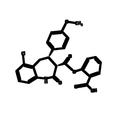 COc1ccc([C@H]2Cc3c(Cl)cccc3NC(=O)[C@H]2C(=O)Oc2ccccc2C(=O)O)cc1